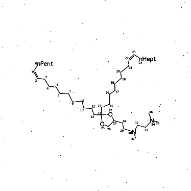 CCCCC/C=C\CCCCCCCCCCC1(CCCCCCCC/C=C\CCCCCCC)OCC(CCN(C)CCN(C)C)O1